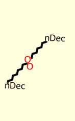 CCCCCCCCCCCCCCCCCOC(=O)CCCCCCCCCCCCCCCCC